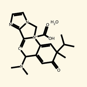 CC(C)C1(C)C=C2C(=CC1=O)C(N(C)C)[C+]=C1c3nccn3C[N+]12C(=O)O.O